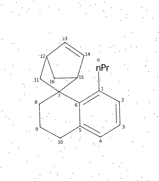 CCCc1cccc2c1C1(CCC2)CC2C=CC1C2